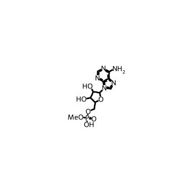 COP(=O)(O)OCC1OC(n2cnc3c(N)ncnc32)C(O)C1O